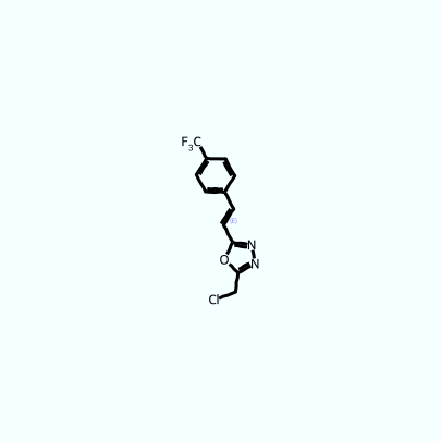 FC(F)(F)c1ccc(/C=C/c2nnc(CCl)o2)cc1